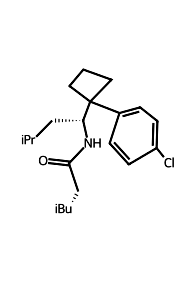 CC[C@@H](C)CC(=O)N[C@H](CC(C)C)C1(c2ccc(Cl)cc2)CCC1